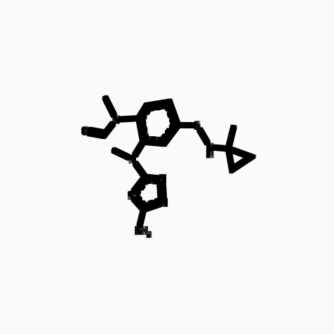 CN(C=O)c1ccc(SNC2(C)CC2)cc1N(C)c1nnc(N)s1